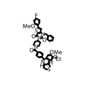 CCOc1cc2c(cc1OC)C(c1ccc(C(=O)N3CCC(n4c(=O)c5sc(-c6ccc(F)cc6OC)cc5n(Cc5ccccc5)c4=O)CC3)cc1)=N[C@@H]1CCSC[C@H]21